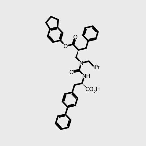 CC(C)CN(C[C@H](Cc1ccccc1)C(=O)Oc1ccc2c(c1)CCC2)C(=O)N[C@@H](Cc1ccc(-c2ccccc2)cc1)C(=O)O